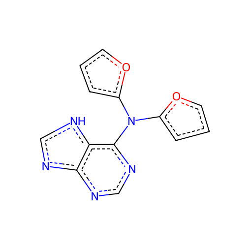 c1coc(N(c2ccco2)c2ncnc3nc[nH]c23)c1